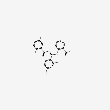 C=C(/N=C(/Nc1ccncc1C(=O)NC)c1ccc(N)nc1N)c1cc(Cl)ccc1F